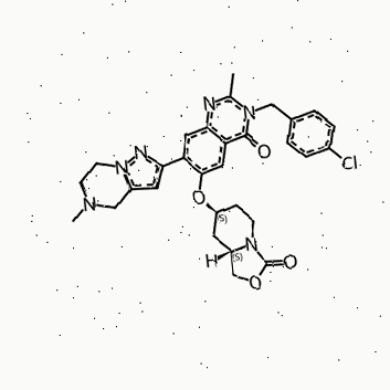 Cc1nc2cc(-c3cc4n(n3)CCN(C)C4)c(O[C@H]3CCN4C(=O)OC[C@@H]4C3)cc2c(=O)n1Cc1ccc(Cl)cc1